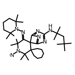 CC(C)(C)CC(C)(C)Nc1nc2nc(n1)C21C(=NN2C(C)(C)CCCC2(C)C)C(C)(C)N([N])C(C)(C)C12CCCCCC2